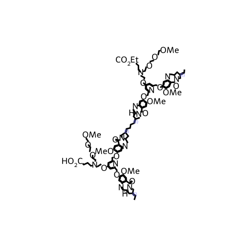 C/C=C1\CC2C=Nc3cc(OCc4cc(OCCN(CCCC(=O)OCC)CCOCCOCCOC)cc(COc5cc6c(cc5OC)C(=O)N5C/C(=C/CC/C=C7\CC8C=Nc9cc(OCc%10cc(OCCN(CCCC(=O)O)CCOCCOCCOC)cc(COc%11cc%12c(cc%11OC)C(=O)N%11C/C(=C/C)C[C@H]%11C=N%12)n%10)c(OC)cc9C(=O)N8C7)C[C@H]5C=N6)n4)c(OC)cc3C(=O)N2C1